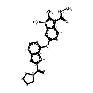 CNC(=O)c1c(C)n(C)c2cc(Oc3ccnc4cc(C(=O)N5CCCC5)sc34)ccc12